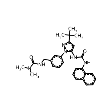 CN(C)C(=O)NCc1cccc(-n2nc(C(C)(C)C)cc2NC(=O)Nc2cccc3ccccc23)c1